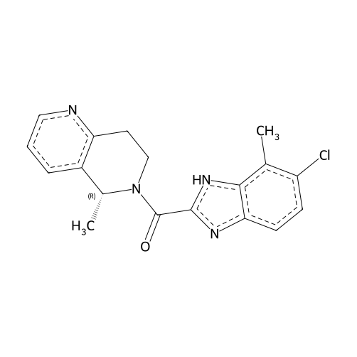 Cc1c(Cl)ccc2nc(C(=O)N3CCc4ncccc4[C@H]3C)[nH]c12